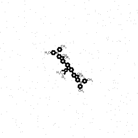 CCCCC1(CCCC)c2cc(-c3ccc4c(c3)C(C)(C)c3cc(N(c5ccc(C)cc5)c5ccc(C)cc5)ccc3-4)ccc2-c2ccc(-c3ccc4c(c3)C(C)(C)c3cc(N(c5ccc(C)cc5)c5ccc(C)cc5)ccc3-4)cc21